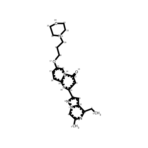 CCc1nc(C)cn2nc(-c3cc(=O)n4cc(OCCCN5CCOCC5)ccc4n3)cc12